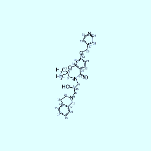 CC1(C)CN(C[C@H](O)CN2CCc3ccccc3C2)C(=O)c2ccc(OCc3ccncc3)cc2O1